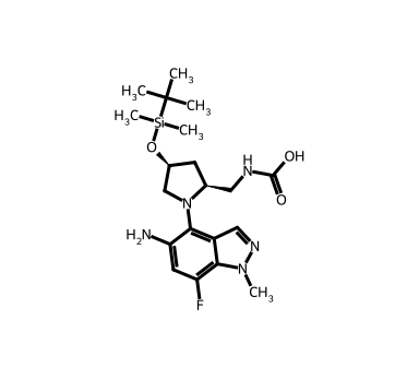 Cn1ncc2c(N3C[C@@H](O[Si](C)(C)C(C)(C)C)C[C@H]3CNC(=O)O)c(N)cc(F)c21